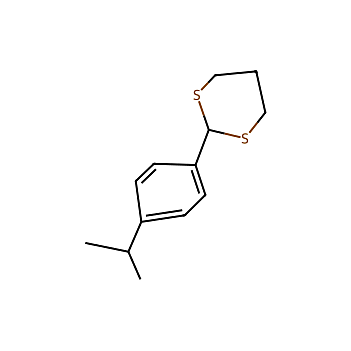 CC(C)c1ccc(C2SCCCS2)cc1